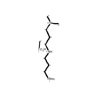 CC(=O)O.CCCCCCCCCCCCNCCCN(C)C